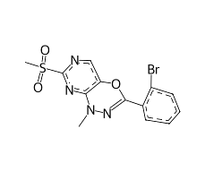 CN1N=C(c2ccccc2Br)Oc2cnc(S(C)(=O)=O)nc21